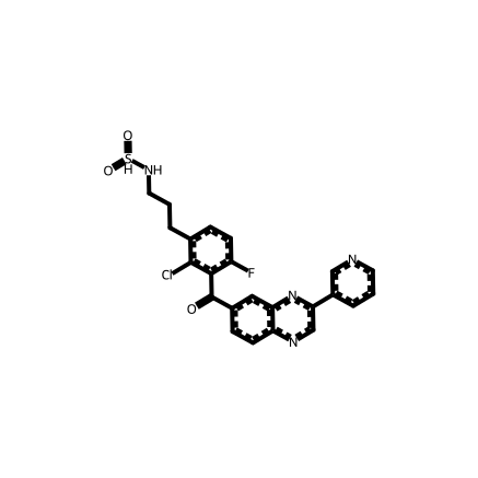 O=C(c1ccc2ncc(-c3cccnc3)nc2c1)c1c(F)ccc(CCCN[SH](=O)=O)c1Cl